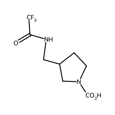 O=C(O)N1CCC(CNC(=O)C(F)(F)F)C1